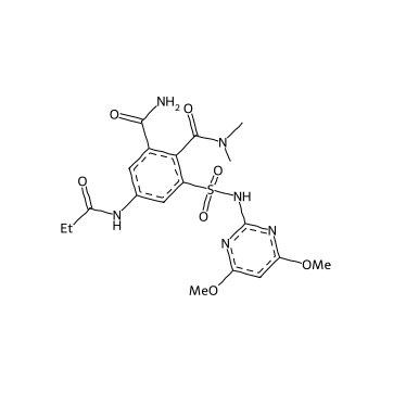 CCC(=O)Nc1cc(C(N)=O)c(C(=O)N(C)C)c(S(=O)(=O)Nc2nc(OC)cc(OC)n2)c1